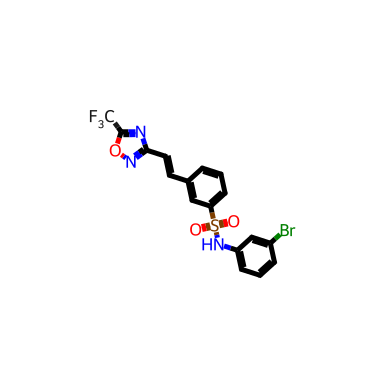 O=S(=O)(Nc1cccc(Br)c1)c1cccc(C=Cc2noc(C(F)(F)F)n2)c1